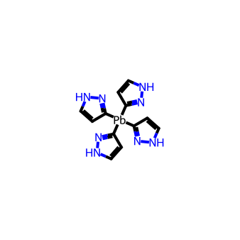 c1c[c]([Pb]([c]2cc[nH]n2)([c]2cc[nH]n2)[c]2cc[nH]n2)n[nH]1